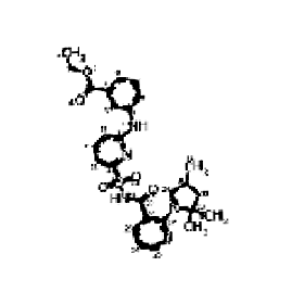 CCOC(=O)c1cccc(Nc2cccc(S(=O)(=O)NC(=O)c3cccnc3N3CC(C)CC3(C)C)n2)c1